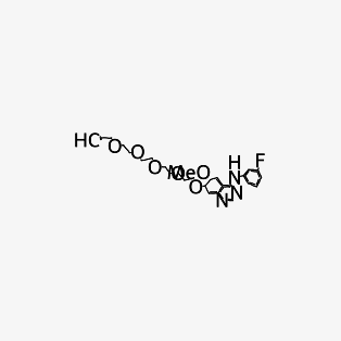 C#CCOCCOCCOCCOCCOC1C=c2ncnc(Nc3cccc(F)c3)c2=CC1OC